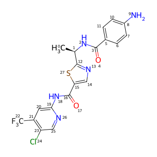 C[C@@H](NC(=O)c1ccc(N)cc1)c1ncc(C(=O)Nc2cc(C(F)(F)F)c(Cl)cn2)s1